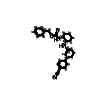 N#Cc1ccc(N2CCC[C@H](N[C@@H]3CCCC[C@H]3NC(=O)OCc3ccccc3)C2)cc1